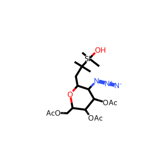 CC(=O)OCC1OC(CC(C)(C)[Si](C)(C)O)C(N=[N+]=[N-])C(OC(C)=O)C1OC(C)=O